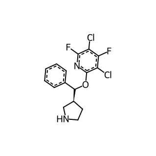 Fc1nc(OC(c2ccccc2)[C@H]2CCNC2)c(Cl)c(F)c1Cl